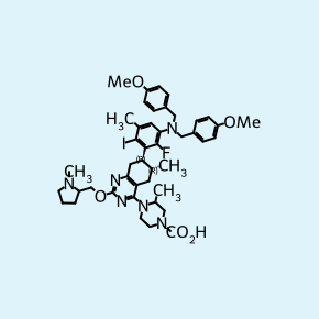 COc1ccc(CN(Cc2ccc(OC)cc2)c2cc(C)c(I)c([C@@H]3Cc4nc(OCC5CCCN5C)nc(N5CCN(C(=O)O)CC5C)c4C[C@H]3C)c2F)cc1